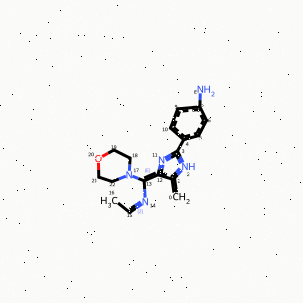 C=c1[nH]c(-c2ccc(N)cc2)n/c1=C(/N=C\C)N1CCOCC1